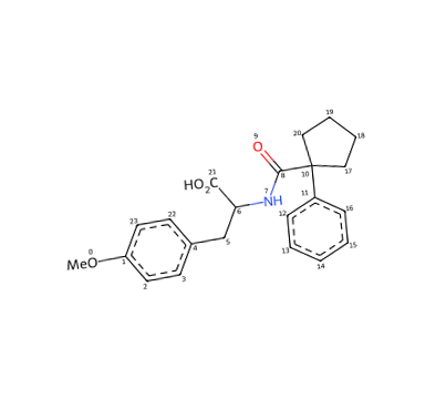 COc1ccc(CC(NC(=O)C2(c3ccccc3)CCCC2)C(=O)O)cc1